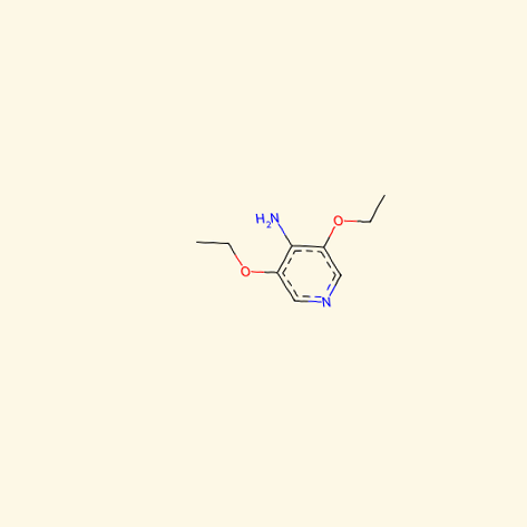 CCOc1cncc(OCC)c1N